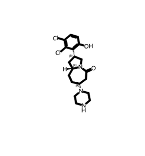 O=C1C[C@H](N2CCNCC2)CC[C@@H]2C[C@H](c3c(O)ccc(Cl)c3Cl)CN12